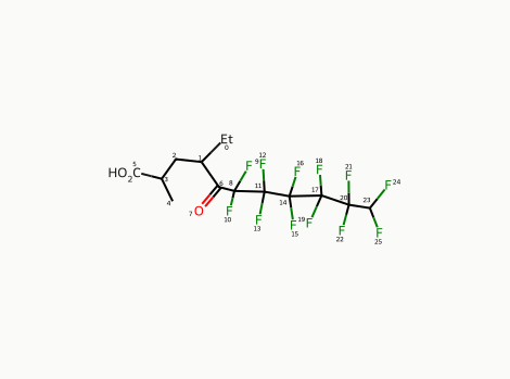 CCC(CC(C)C(=O)O)C(=O)C(F)(F)C(F)(F)C(F)(F)C(F)(F)C(F)(F)C(F)F